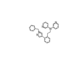 c1ccc(Cn2cc(-c3ccccc3CCN(c3cccnc3)c3cccnc3)cn2)cc1